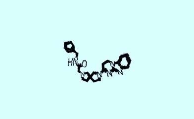 O=C(CN1CCC2(CCN(c3ccn4c(n3)nc3ccccc34)C2)C1)NCC1CC2C=CC1C2